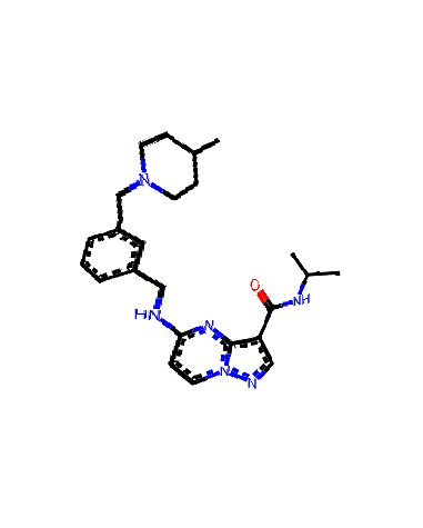 CC1CCN(Cc2cccc(CNc3ccn4ncc(C(=O)NC(C)C)c4n3)c2)CC1